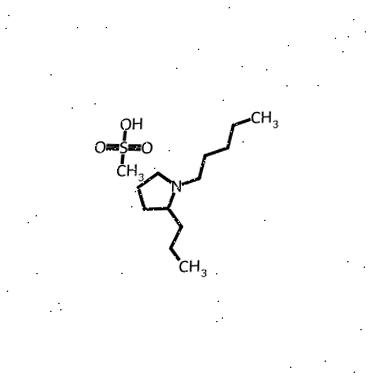 CCCCCN1CCCC1CCC.CS(=O)(=O)O